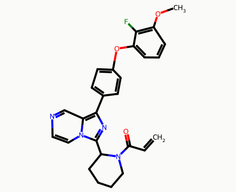 C=CC(=O)N1CCCCC1c1nc(-c2ccc(Oc3cccc(OC)c3F)cc2)c2cnccn12